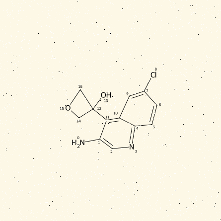 Nc1cnc2ccc(Cl)cc2c1C1(O)COC1